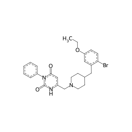 CCOc1ccc(Br)c(CC2CCN(Cc3cc(=O)n(-c4ccccc4)c(=O)[nH]3)CC2)c1